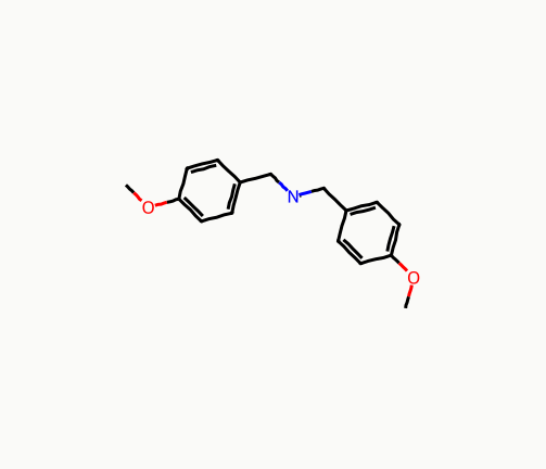 COc1ccc(C[N]Cc2ccc(OC)cc2)cc1